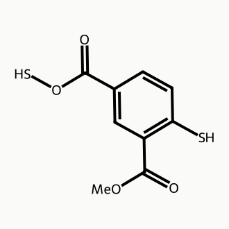 COC(=O)c1cc(C(=O)OS)ccc1S